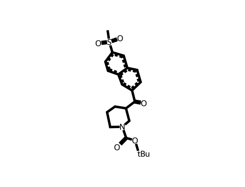 CC(C)(C)OC(=O)N1CCCC(C(=O)c2ccc3cc(S(C)(=O)=O)ccc3c2)C1